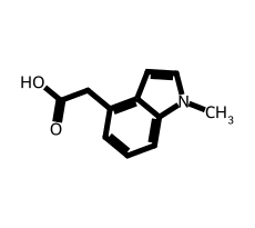 Cn1ccc2c(CC(=O)O)cccc21